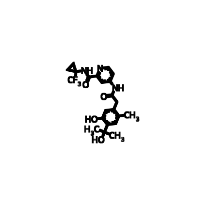 Cc1cc(C(C)(C)O)c(O)cc1CC(=O)Nc1ccnc(C(=O)NC2(C(F)(F)F)CC2)c1